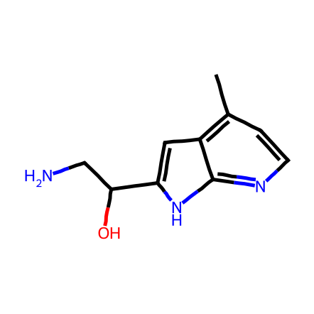 Cc1ccnc2[nH]c(C(O)CN)cc12